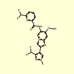 CC(C)Oc1cc2nc(-c3cn(C)nc3C(F)F)cn2cc1NC(=O)c1cccc(C(F)F)n1